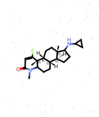 CN1C(=O)C=C(F)[C@@]2(C)C1CC[C@@H]1[C@H]2CC[C@]2(C)C(NC3CC3)CC[C@@H]12